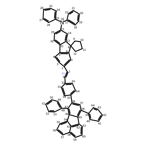 C(=C\c1ccc2c(c1)C1(CCCC1)c1cc(N(c3ccccc3)c3ccccc3)ccc1-2)/c1ccc(-c2cc(-c3ccccc3)c3c(c2-c2ccccc2)-c2cccc4cccc-3c24)cc1